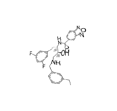 CCc1cccc(CNC[C@H](O)[C@H](Cc2cc(F)cc(F)c2)NC(=O)c2ccc3nonc3c2)c1